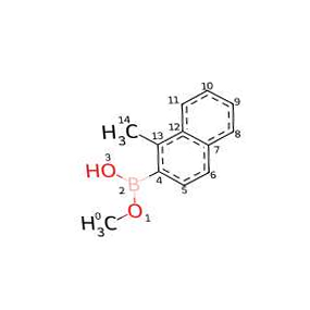 COB(O)c1ccc2ccccc2c1C